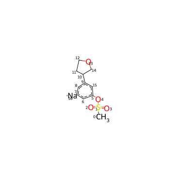 CS(=O)(=O)Oc1cccc(C2CCOC2)c1.[Na]